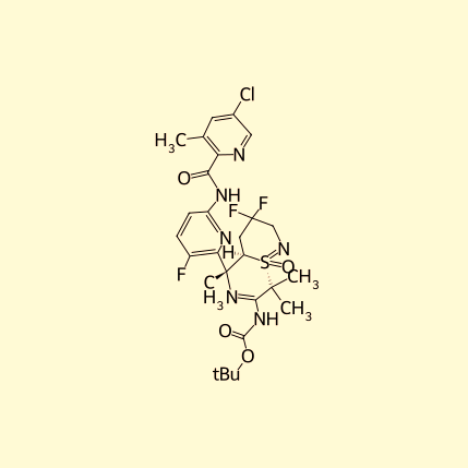 Cc1cc(Cl)cnc1C(=O)Nc1ccc(F)c([C@@]2(C)N=C(NC(=O)OC(C)(C)C)C(C)(C)[S@@]3(=O)=NCC(F)(F)C[C@H]23)n1